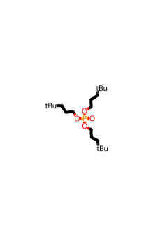 CC(C)(C)CCCOP(=O)(OCCCC(C)(C)C)OCCCC(C)(C)C